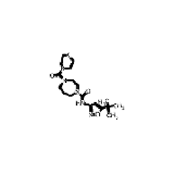 CC(C)(C)c1cc(NC(=O)N2CCCN(C(=O)N3CCSCC3)CC2)no1